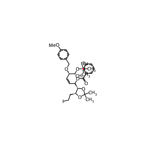 COc1ccc(CO[C@H](/C=C\C(OC(=O)c2ccccc2)[C@H]2OC(C)(C)O[C@H]2CCI)[C@H](C)O[Si](C)(C)C(C)(C)C)cc1